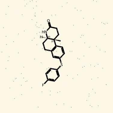 C[C@]12CCC(=O)N[C@@H]1CCc1cc(Sc3ccc(F)cc3)ccc12